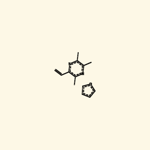 C=Cc1nc(C)c(C)nc1C.c1ccoc1